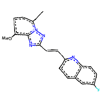 COc1ccc(C)n2nc(/C=C/c3ccc4cc(F)ccc4n3)nc12